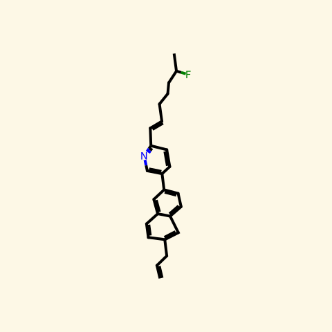 C=CCc1ccc2cc(-c3ccc(C=CCCCC(C)F)nc3)ccc2c1